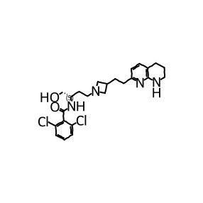 O=C(N[C@H](CO)CCN1CC(CCc2ccc3c(n2)NCCC3)C1)c1c(Cl)cccc1Cl